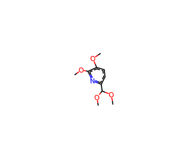 COc1ccc(C(OC)OC)nc1OC